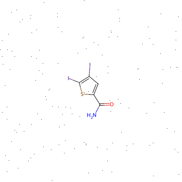 NC(=O)c1cc(I)c(I)s1